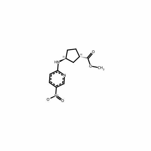 COC(=O)[C@H]1CC[C@H](Nc2ccc([N+](=O)[O-])cn2)C1